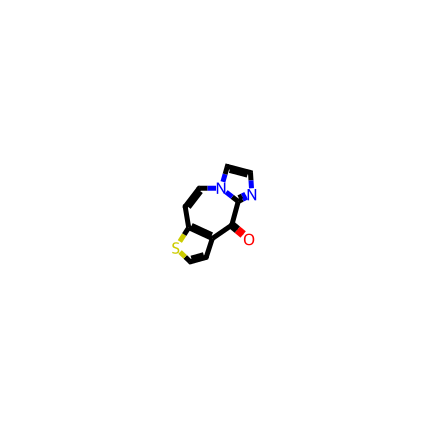 O=c1c2ccsc2ccn2ccnc12